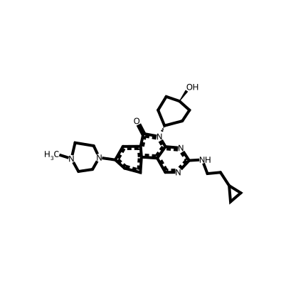 CN1CCN(c2ccc3c(c2)c(=O)n([C@H]2CC[C@H](O)CC2)c2nc(NCCC4CC4)ncc32)CC1